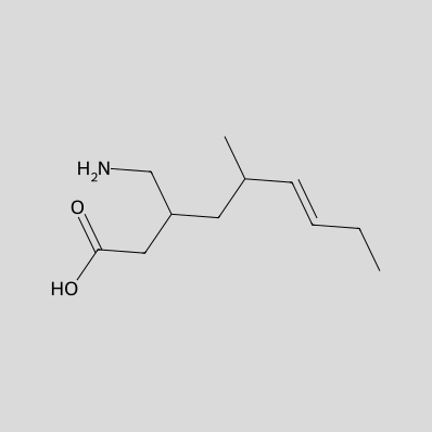 CC/C=C/C(C)CC(CN)CC(=O)O